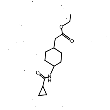 CCOC(=O)CC1CCC(NC(=O)C2CC2)CC1